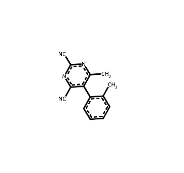 Cc1ccccc1-c1c(C)nc(C#N)nc1C#N